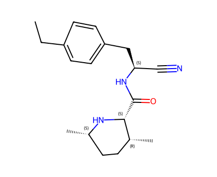 CCc1ccc(C[C@@H](C#N)NC(=O)[C@H]2N[C@@H](C)CC[C@H]2C)cc1